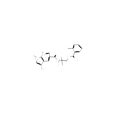 Cc1ccccc1C(=O)OCC(C)(C)NC(=O)c1cnc2c(c1)c(Br)cn2C